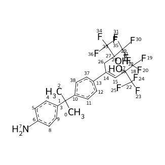 CC(C)(c1ccc(N)cc1)c1ccc(/C(=C/C(O)(C(F)(F)F)C(F)(F)F)CC(O)(C(F)(F)F)C(F)(F)F)cc1